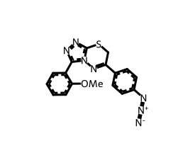 COc1ccccc1-c1nnc2n1N=C(c1ccc(N=[N+]=[N-])cc1)CS2